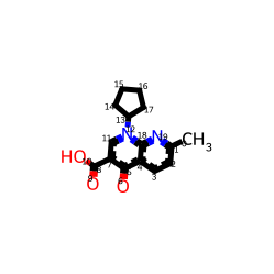 Cc1ccc2c(=O)c(C(=O)O)cn(C3CCCC3)c2n1